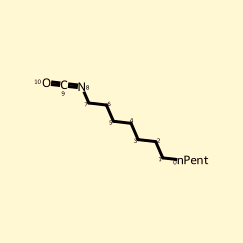 [CH2]CCCCCCCCCCCN=C=O